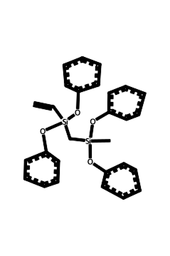 C=C[Si](C[Si](C)(Oc1ccccc1)Oc1ccccc1)(Oc1ccccc1)Oc1ccccc1